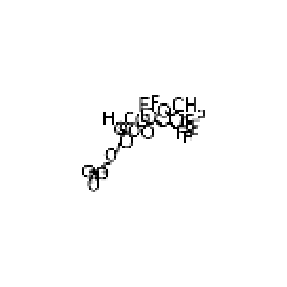 Cc1cc(S(F)(F)(F)(F)F)cc2c1O[C@H](C(F)(F)F)C(C(=O)OC(C)OC(=O)OCCOCCO[N+](=O)[O-])=C2